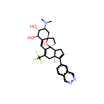 CN(C)[C@H]1C[C@@]23CC[C@@]4(O2)C(=C(C(F)(F)F)C[C@]2(C)C(c5ccc6cnncc6c5)=CCC24)C=C3[C@@H](O)[C@@H]1O